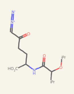 CC(C)OC(C(=O)NC(CCC(=O)C=[N+]=[N-])C(=O)O)C(C)C